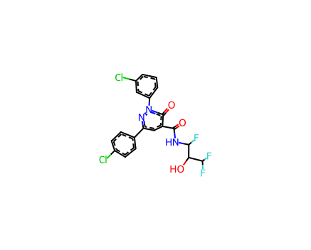 O=C(NC(F)C(O)C(F)F)c1cc(-c2ccc(Cl)cc2)nn(-c2cccc(Cl)c2)c1=O